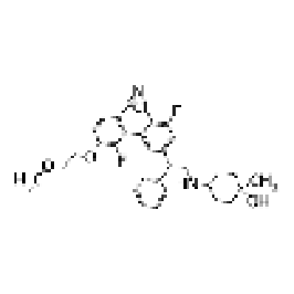 COCCOc1ccc(C#N)c(-c2cc(C(CNC3CCC(C)(O)CC3)c3ccccc3)cc(F)c2Cl)c1F